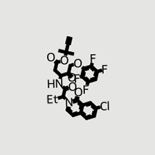 C#CC(C)(C)OC(=O)CC(NC(=O)C(CC)n1ccc2ccc(Cl)cc2c1=O)C(=O)COc1c(F)c(F)cc(F)c1F